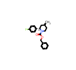 C=C1CCN(C(=O)OCc2ccccc2)[C@H](c2ccc(F)cc2)C1